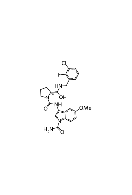 COc1ccc2c(c1)c(NC(=O)N1CCC[C@H]1C(O)NCc1cccc(Cl)c1F)cn2C(N)=O